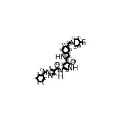 C[C@H](C1=CCCC=C1)n1cc(C(=O)Nc2c[nH]c(=O)c(-c3cc4cc(CN5CCC(F)CC5)ccc4[nH]3)c2)cn1